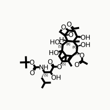 CC(=O)O[C@H]1C2=C(C)[C@@H](OC(=O)C(O)[C@H](CC(C)C)NC(=O)OC(C)(C)C)CC(O)([C@@H](O)[C@H]3C(C)(C(O)CC4OC[C@]43OC(C)=O)[C@H]1O)C2(C)C